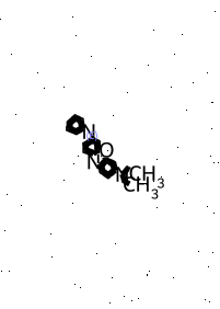 CCN(CC)c1ccc2nc3cc/c(=N\c4ccccc4)cc-3oc2c1